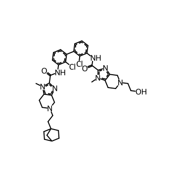 Cn1c(C(=O)Nc2cccc(-c3cccc(NC(=O)c4nc5c(n4C)CCN(CCC46CCC(CC4)C6)C5)c3Cl)c2Cl)nc2c1CCN(CCO)C2